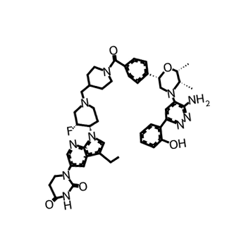 CCc1cn([C@H]2CCN(CC3CCN(C(=O)c4ccc([C@H]5CN(c6cc(-c7ccccc7O)nnc6N)[C@@H](C)[C@@H](C)O5)cc4)CC3)C[C@H]2F)c2ncc(N3CCC(=O)NC3=O)cc12